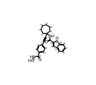 O=C(NC1(C#Cc2ccc(C(=S)NO)cc2)CCCCCC1)c1cc2ccccc2[nH]1